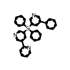 c1ccc(-c2cncc([Si](c3ccccc3)(c3ccccc3)c3cncc(-c4ccccn4)c3)c2)cc1